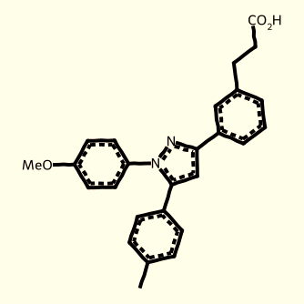 COc1ccc(-n2nc(-c3cccc(CCC(=O)O)c3)cc2-c2ccc(C)cc2)cc1